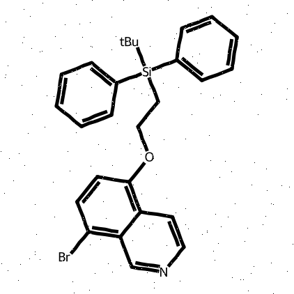 CC(C)(C)[Si](CCOc1ccc(Br)c2cnccc12)(c1ccccc1)c1ccccc1